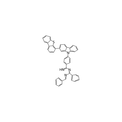 N=C(/N=C(\N=C\c1ccccc1)c1ccccc1)c1ccc(-n2c3ccccc3c3ccc(-c4cccc5c4sc4ccccc45)cc32)cc1